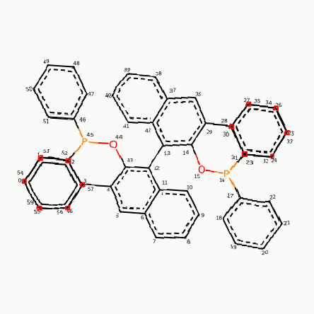 c1ccc(-c2cc3ccccc3c(-c3c(OP(c4ccccc4)c4ccccc4)c(-c4ccccc4)cc4ccccc34)c2OP(c2ccccc2)c2ccccc2)cc1